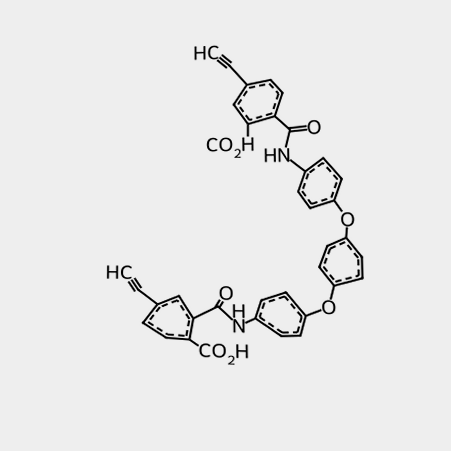 C#Cc1ccc(C(=O)Nc2ccc(Oc3ccc(Oc4ccc(NC(=O)c5cc(C#C)ccc5C(=O)O)cc4)cc3)cc2)c(C(=O)O)c1